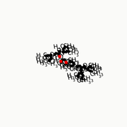 CN1C(C)(C)CC(OC(=O)CC(C(=O)OC2CC(C)(C)N(C)C(C)(C)C2)C(=O)OC2CC(C)(C)N(C)C(C)(ON3C(C)(C)CC(OC(=O)CC(C(=O)OC4CC(C)(C)N(O)C(C)(C)C4)C(=O)OC4CC(C)(C)N(O)C(C)(C)C4)CC3(C)C)C2)CC1(C)C